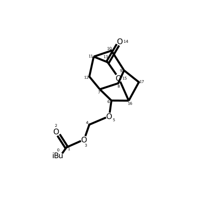 CCC(C)C(=O)OCOC1C2CC3CC(C2)C(=O)OC1C3